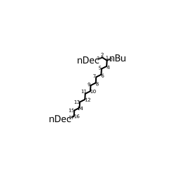 [CH2]CCCC(CCCCCCCCCCC)CCCCCCCCCCCCCCCCCCCCCCC